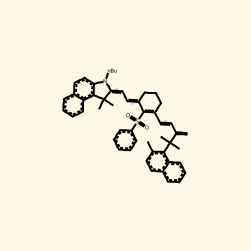 C=C(/C=C/C1=C(S(=O)(=O)c2ccccc2)C(=C/C=C2/N(CCCC)c3ccc4ccccc4c3C2(C)C)/CCC1)C(C)(C)c1c(C)ccc2ccccc12